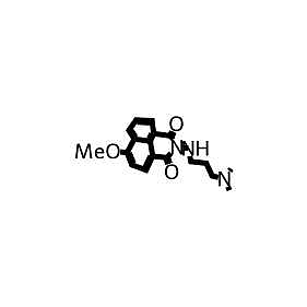 COc1ccc2c3c(cccc13)C(=O)N(NCCCN(C)C)C2=O